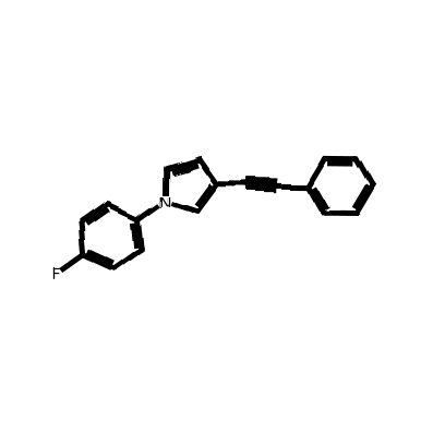 Fc1ccc(-n2ccc(C#Cc3ccccc3)c2)cc1